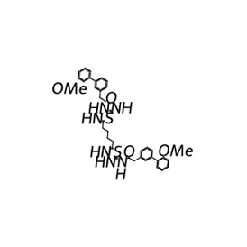 COc1ccccc1-c1cccc(CC(=O)NC(=N)SC(=N)CCCCC(=N)SC(=N)NC(=O)Cc2cccc(-c3ccccc3OC)c2)c1